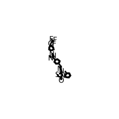 Cc1ccccc1N1C(=O)CS/C1=N\N=C\c1ccc(-c2ncn(-c3ccc(OC(F)(F)F)cc3)n2)cc1